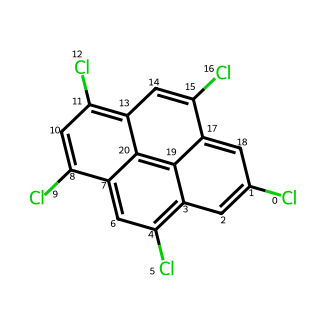 Clc1cc2c(Cl)cc3c(Cl)cc(Cl)c4cc(Cl)c(c1)c2c34